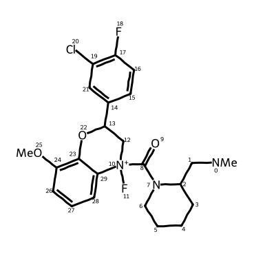 CNCC1CCCCN1C(=O)[N+]1(F)CC(c2ccc(F)c(Cl)c2)Oc2c(OC)cccc21